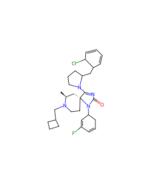 C[C@H]1C[C@]2(CCN1CC1CCC1)C(N1CCCC1CC1C=CC=CC1Cl)=NC(=O)N2C1C=C(F)C=CC1